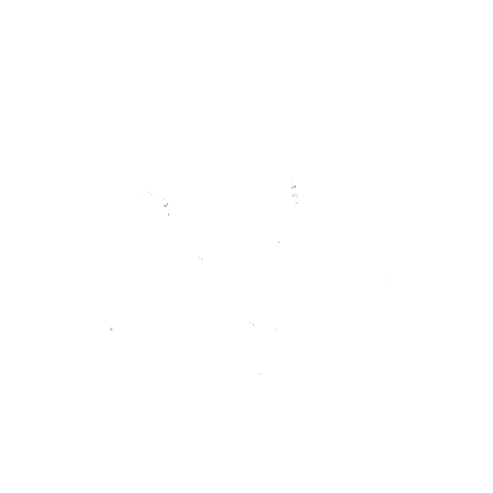 CC(C)(C)c1ccc(N2c3ccc(-c4ccccc4)cc3B3c4ccc(C(C)(C)C)cc4N(c4ccc(C(C)(C)C)cc4-c4ccccc4)c4cc(N5c6ccccc6C(C)(C)C6(C)CCCCC56C)cc2c43)c(-c2ccccc2)c1